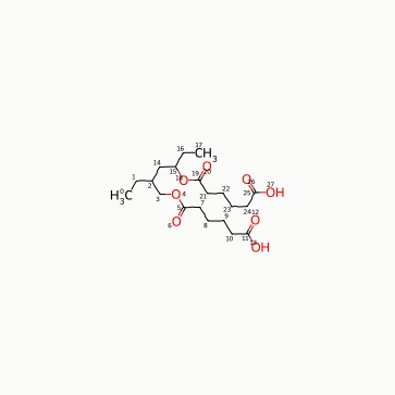 CCC(COC(=O)CCCCC(=O)O)CC(CC)OC(=O)CCCCC(=O)O